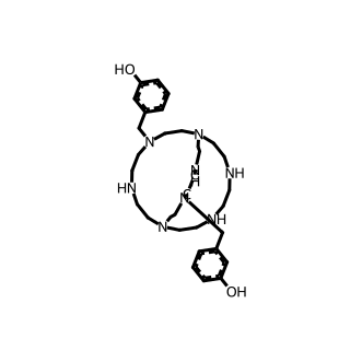 Oc1cccc(CN2CCNCCN3CCNCCNCCN(CCNCCN(Cc4cccc(O)c4)CC3)CC2)c1